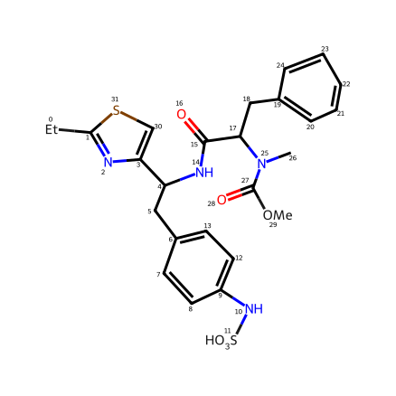 CCc1nc(C(Cc2ccc(NS(=O)(=O)O)cc2)NC(=O)C(Cc2ccccc2)N(C)C(=O)OC)cs1